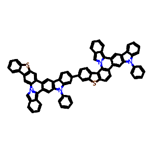 c1ccc(-n2c3ccccc3c3cc4c(cc32)c2ccc3sc5cc(-c6ccc7c8cc9c%10cc%11sc%12ccccc%12c%11cc%10n%10cc%11ccccc%11c%10c9cc8n(-c8ccccc8)c7c6)ccc5c3c2n2cc3ccccc3c42)cc1